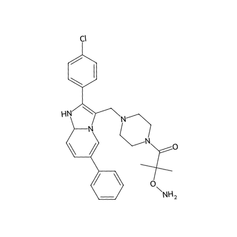 CC(C)(ON)C(=O)N1CCN(CC2=C(c3ccc(Cl)cc3)NC3C=CC(c4ccccc4)=CN23)CC1